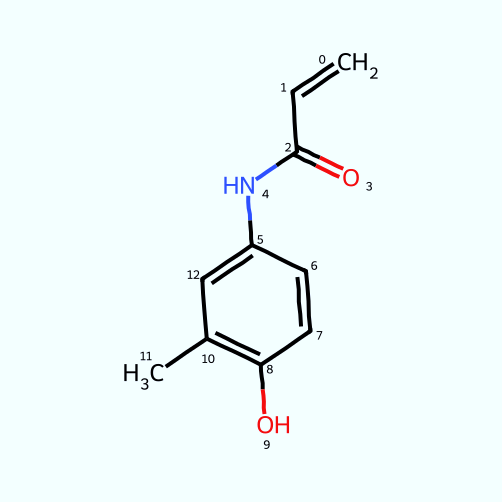 C=CC(=O)Nc1ccc(O)c(C)c1